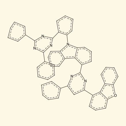 c1ccc(-c2cc(-c3cccc4oc5ccccc5c34)nc(-c3cccc4c3c3ccccc3n4-c3ccccc3-c3nc(-c4ccccc4)nc(-c4ccccc4)n3)n2)cc1